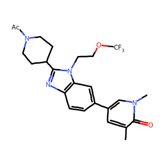 CC(=O)N1CCC(c2nc3ccc(-c4cc(C)c(=O)n(C)c4)cc3n2CCOC(F)(F)F)CC1